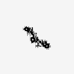 O=C(Nc1nc2c(C(=O)NCc3nc4ccccc4s3)cccc2[nH]1)c1cc2ccccc2cn1